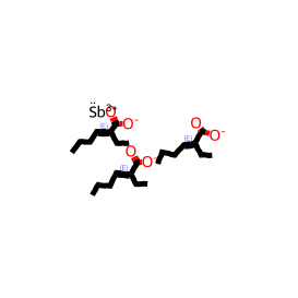 CCC/C=C(\CC)C(=O)[O-].CCC/C=C(\CC)C(=O)[O-].CCC/C=C(\CC)C(=O)[O-].[Sb+3]